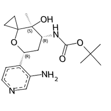 CC(C)(C)OC(=O)N[C@@H]1C[C@H](c2ccncc2N)OC2(CC2)[C@@]1(C)O